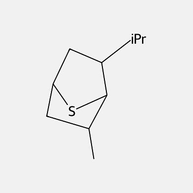 CC(C)C1CC2CC(C)C1S2